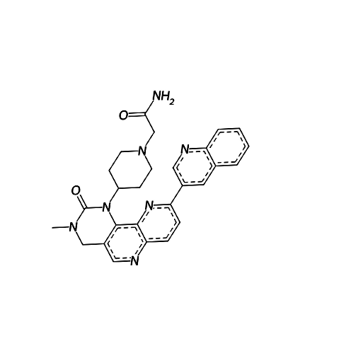 CN1Cc2cnc3ccc(-c4cnc5ccccc5c4)nc3c2N(C2CCN(CC(N)=O)CC2)C1=O